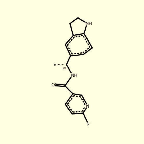 C[C@@H](NC(=O)c1ccc(F)nc1)c1ccc2c(c1)CCN2